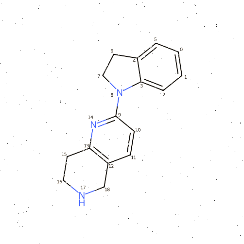 c1ccc2c(c1)CCN2c1ccc2c(n1)CCNC2